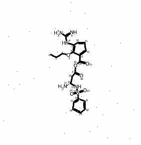 CCCOc1c(NC(=N)N)cccc1C(=O)OC(=O)C[C@@H](N)NS(=O)(=O)c1ccccc1